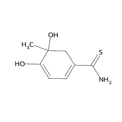 CC1(O)CC(C(N)=S)=CC=C1O